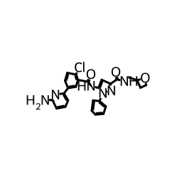 Nc1cccc(-c2ccc(Cl)c(C(=O)Nc3cc(C(=O)NCC4CCO4)nn3-c3ccccc3)c2)n1